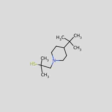 CC(C)(S)CN1CCC(C(C)(C)C)CC1